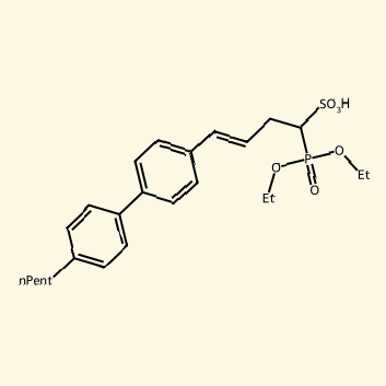 CCCCCc1ccc(-c2ccc(C=CCC(P(=O)(OCC)OCC)S(=O)(=O)O)cc2)cc1